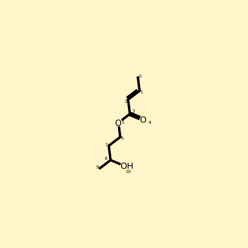 CC=CC(=O)OCCC(C)O